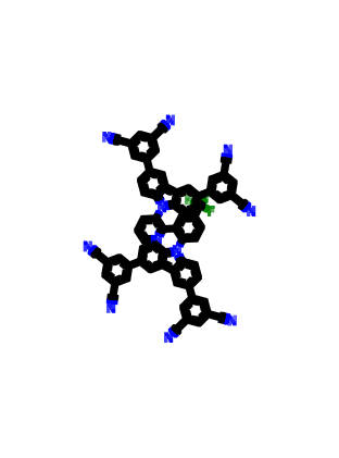 N#Cc1cc(C#N)cc(-c2ccc3c(c2)c2cc(-c4cc(C#N)cc(C#N)c4)ccc2n3-c2ccc(C(F)(F)F)cc2-c2ncccc2-n2c3ccc(-c4cc(C#N)cc(C#N)c4)cc3c3cc(-c4cc(C#N)cc(C#N)c4)ccc32)c1